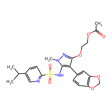 CC(=O)OCCOc1nn(C)c(NS(=O)(=O)c2ccc(C(C)C)cn2)c1-c1ccc2c(c1)OCO2